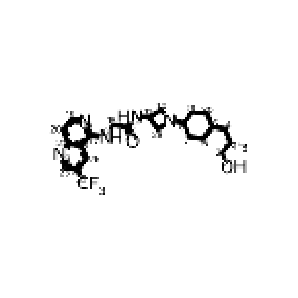 C[C@H](CO)CC1CCC(N2CC(NC(=O)CNc3nccc4ncc(C(F)(F)F)cc34)C2)CC1